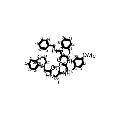 COc1ccc(C[C@H](NC(=O)[C@H](C)NC(=O)CN2CCOc3ccccc32)C(=O)N[C@@H](Cc2ccccc2)C(=O)C(=O)NCc2ccccc2)cc1